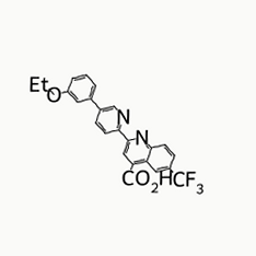 CCOc1cccc(-c2ccc(-c3cc(C(=O)O)c4cc(C(F)(F)F)ccc4n3)nc2)c1